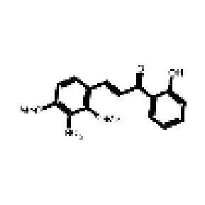 COc1ccc(C=CC(=O)c2ccccc2O)c(OC)c1[N+](=O)[O-]